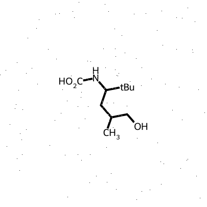 CC(CO)CC(NC(=O)O)C(C)(C)C